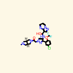 CN1C[C@@H]2CN(C(=O)Cn3cc(NC(O)c4cnn5cccnc45)c(-c4cc(Cl)ccc4OC(F)F)n3)C[C@@H]2C1